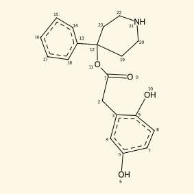 O=C(Cc1cc(O)ccc1O)OC1(c2ccccc2)CCNCC1